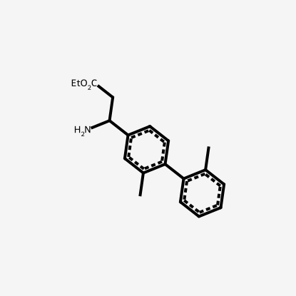 CCOC(=O)CC(N)c1ccc(-c2ccccc2C)c(C)c1